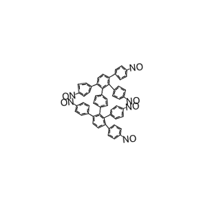 O=Nc1ccc(-c2ccc(-c3ccc(N=O)cc3)c(-c3ccc(-c4c(-c5ccc(N=O)cc5)ccc(-c5ccc(N=O)cc5)c4-c4ccc(N=O)cc4)cc3)c2-c2ccc(N=O)cc2)cc1